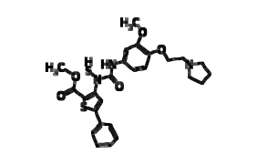 COC(=O)c1sc(-c2ccccc2)cc1N(S)C(=O)Nc1ccc(OCCN2CCCC2)c(OC)c1